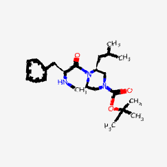 CN[C@@H](Cc1ccccc1)C(=O)N1CCN(C(=O)OC(C)(C)C)C[C@@H]1CC(C)C